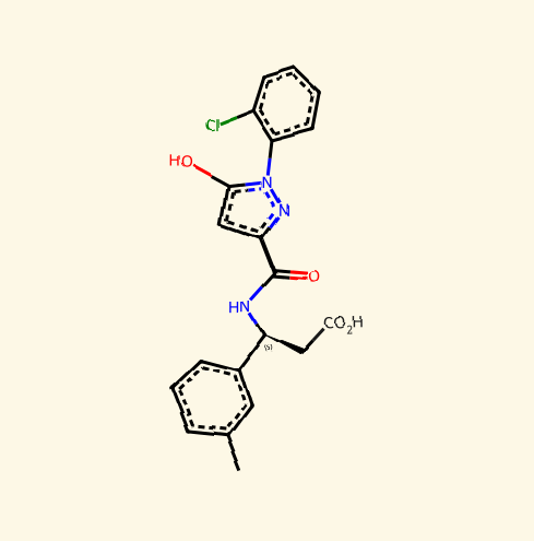 Cc1cccc([C@H](CC(=O)O)NC(=O)c2cc(O)n(-c3ccccc3Cl)n2)c1